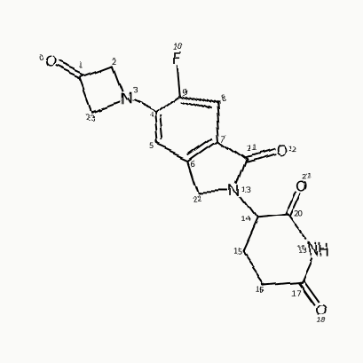 O=C1CN(c2cc3c(cc2F)C(=O)N(C2CCC(=O)NC2=O)C3)C1